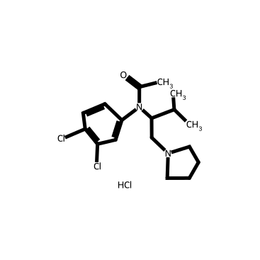 CC(=O)N(c1ccc(Cl)c(Cl)c1)C(CN1CCCC1)C(C)C.Cl